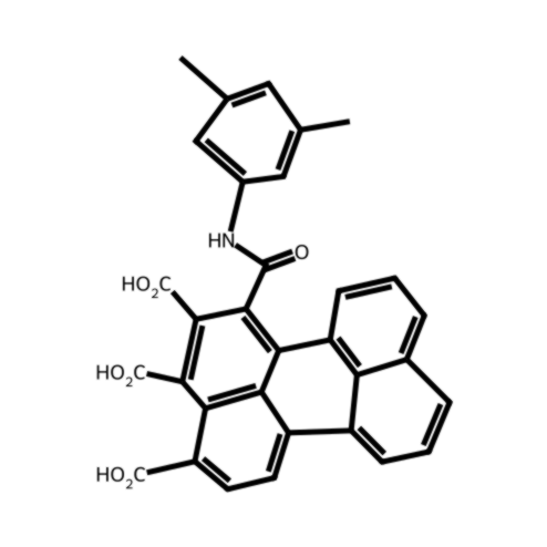 Cc1cc(C)cc(NC(=O)c2c(C(=O)O)c(C(=O)O)c3c(C(=O)O)ccc4c5cccc6cccc(c2c34)c65)c1